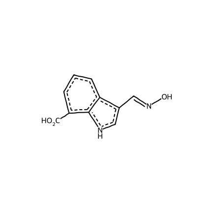 O=C(O)c1cccc2c(C=NO)c[nH]c12